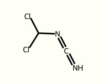 N=C=NC(Cl)Cl